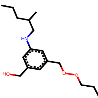 CCCOOCc1cc(CO)cc(NCC(C)CCC)c1